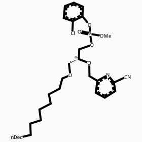 CCCCCCCCCCCCCCCCCCOC[C@H](COP(=O)(OC)Oc1ccccc1Cl)OCc1cccc(C#N)n1